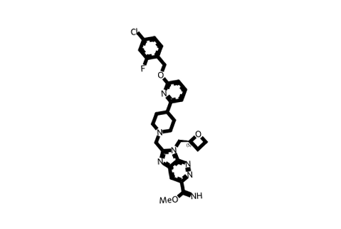 COC(=N)c1cc2nc(CN3CCC(c4cccc(OCc5ccc(Cl)cc5F)n4)CC3)n(C[C@@H]3CCO3)c2nn1